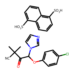 CC(C)(C#N)C(=O)C(Oc1ccc(Cl)cc1)n1ccnc1.O=S(=O)(O)c1cccc2c(S(=O)(=O)O)cccc12